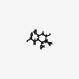 CC(=O)NC1C(O)OC(C)[C@@H](O)C1O